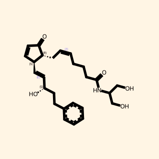 O=C(CCC/C=C\C[C@H]1C(=O)C=C[C@@H]1/C=C/[C@@H](O)CCc1ccccc1)NC(CO)CO